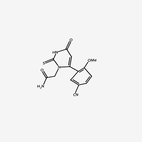 COc1ccc(C#N)cc1-c1cc(=O)[nH]c(=S)n1CC(N)=O